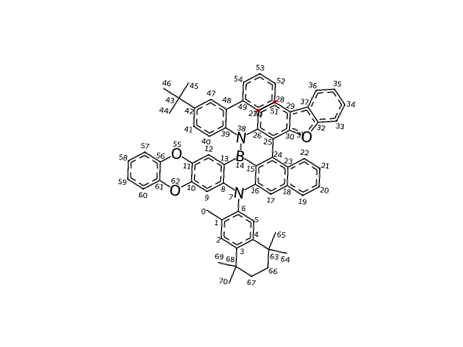 Cc1cc2c(cc1N1c3cc4c(cc3B3c5c1cc1ccccc1c5-c1c(ccc5c1oc1ccccc15)N3c1ccc(C(C)(C)C)cc1-c1ccccc1)Oc1ccccc1O4)C(C)(C)CCC2(C)C